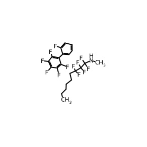 CCCCCCC(F)(F)C(F)(F)C(F)(F)NC.Fc1ccccc1-c1c(F)c(F)c(F)c(F)c1F